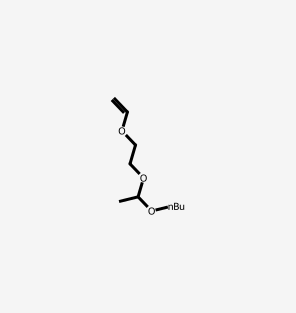 C=COCCOC(C)OCCCC